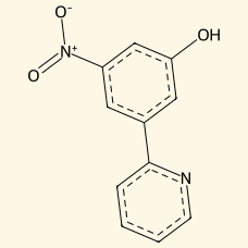 O=[N+]([O-])c1cc(O)cc(-c2ccccn2)c1